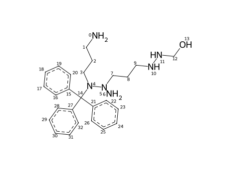 NCCCN(N(N)CCCNNCO)C(c1ccccc1)(c1ccccc1)c1ccccc1